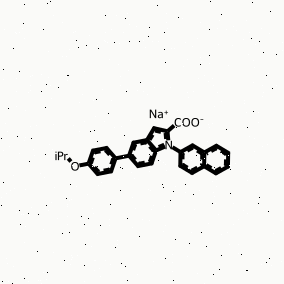 CC(C)Oc1ccc(-c2ccc3c(c2)cc(C(=O)[O-])n3-c2ccc3ccccc3c2)cc1.[Na+]